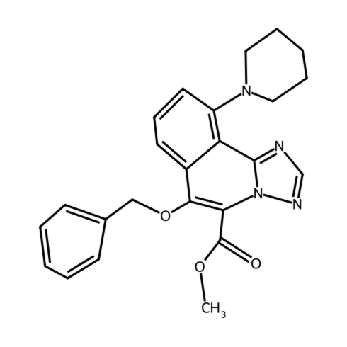 COC(=O)c1c(OCc2ccccc2)c2cccc(N3CCCCC3)c2c2ncnn12